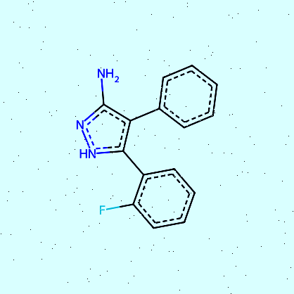 Nc1n[nH]c(-c2ccccc2F)c1-c1ccccc1